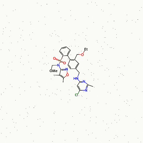 CCOCc1cc(CNc2cc(Cl)nc(C)n2)ccc1-c1ccccc1S(=O)(=O)N(COC)c1noc(C)c1C